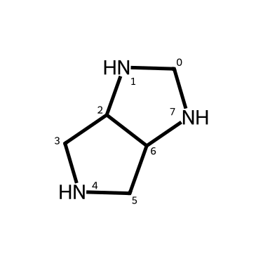 C1NC2CNCC2N1